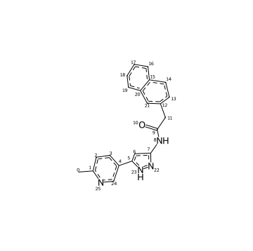 Cc1ccc(-c2cc(NC(=O)Cc3ccc4ccccc4c3)n[nH]2)cn1